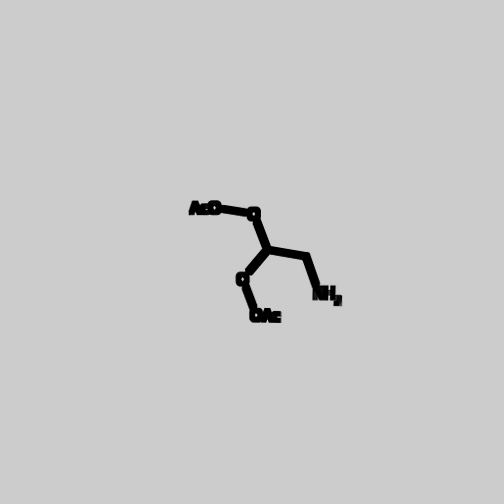 CC(=O)OOC(CN)OOC(C)=O